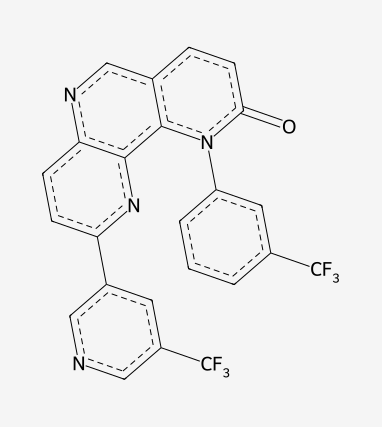 O=c1ccc2cnc3ccc(-c4cncc(C(F)(F)F)c4)nc3c2n1-c1cccc(C(F)(F)F)c1